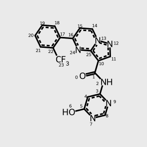 O=C(Nc1cc(O)ncn1)c1cnn2ccc(-c3ccccc3C(F)(F)F)nc12